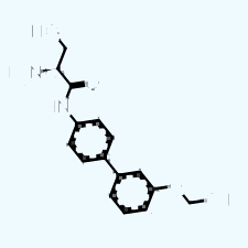 CCOc1cccc(-c2ccc(NC(=O)[C@@H](N)CO)cc2)c1